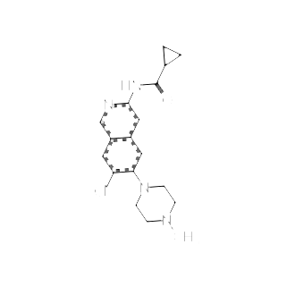 CN1CCN(c2cc3cc(NC(=O)C4CC4)ncc3cc2Cl)CC1